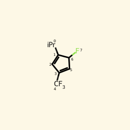 CC(C)C1=CC(C(F)(F)F)=CC1F